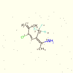 C=C(C)/C(Cl)=C\C(=C(/C)N)C(F)(F)F